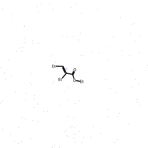 CC/C=C(\CC)C(=O)OCC